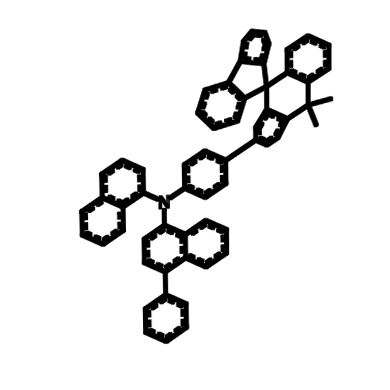 CC1(C)c2ccccc2C2(c3ccccc3-c3ccccc32)c2cc(-c3ccc(N(c4cccc5ccccc45)c4ccc(-c5ccccc5)c5ccccc45)cc3)ccc21